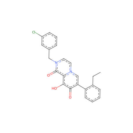 CCc1ccccc1-c1cn2ccn(Cc3cccc(Cl)c3)c(=O)c2c(O)c1=O